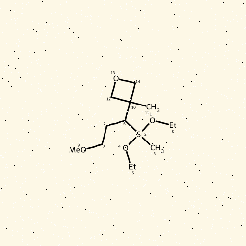 CCO[Si](C)(OCC)C(CCOC)C1(C)COC1